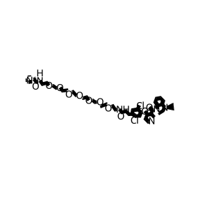 C[N+](C)(C)CC(=O)NCCOCCOCCOCCOCCOCCOCCOCCNC(=O)CCc1cc(Cl)c(Oc2ccncc2C(=O)N2CCN(C3CC3)c3ccccc32)cc1Cl